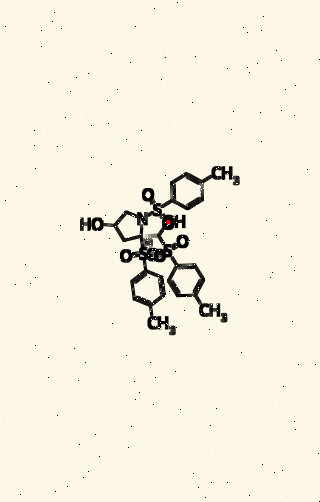 Cc1ccc(S(=O)(=O)C(O)[C@]2(S(=O)(=O)c3ccc(C)cc3)CC(O)CN2S(=O)(=O)c2ccc(C)cc2)cc1